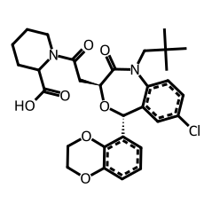 CC(C)(C)CN1C(=O)[C@H](CC(=O)N2CCCCC2C(=O)O)O[C@@H](c2cccc3c2OCCO3)c2cc(Cl)ccc21